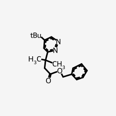 CC(C)(C)c1cnnc(C(C)(C)CC(=O)OCc2ccccc2)c1